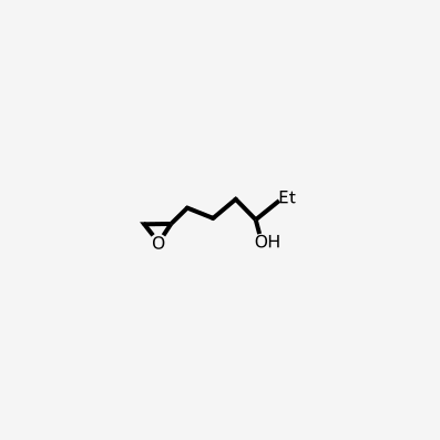 [CH2]CC(O)CCCC1CO1